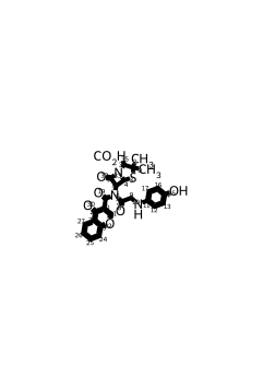 CC1(C)SC2C(N(C(=O)CNc3ccc(O)cc3)C(=O)c3coc4ccccc4c3=O)C(=O)N2C1C(=O)O